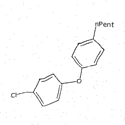 CCCCCc1ccc(Oc2ccc(Cl)cc2)cc1